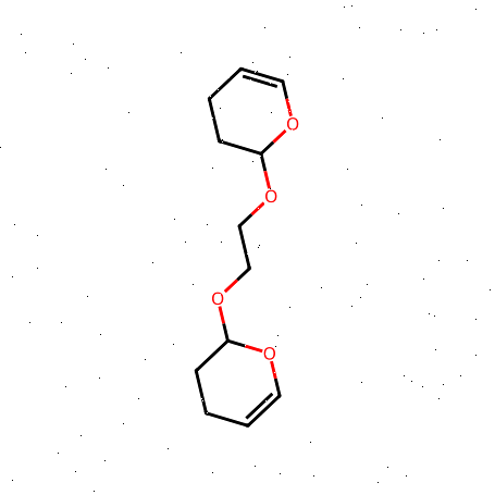 C1=COC(OCCOC2CCC=CO2)CC1